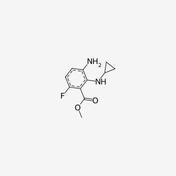 COC(=O)c1c(F)ccc(N)c1NC1CC1